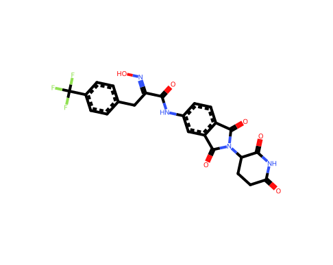 O=C1CCC(N2C(=O)c3ccc(NC(=O)/C(Cc4ccc(C(F)(F)F)cc4)=N/O)cc3C2=O)C(=O)N1